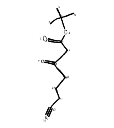 CC(C)(C)OC(=O)CC(=O)CCCC#N